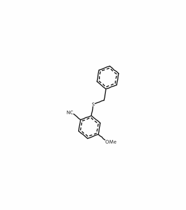 COc1ccc(C#N)c(SCc2ccccc2)c1